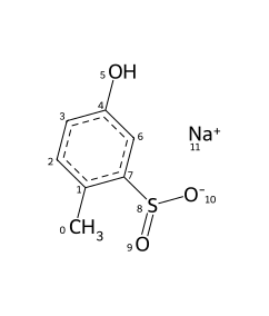 Cc1ccc(O)cc1S(=O)[O-].[Na+]